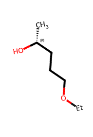 CCOCCC[C@@H](C)O